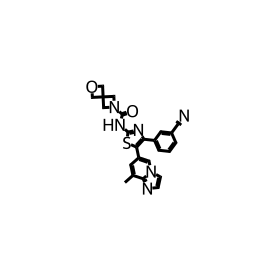 Cc1cc(-c2sc(NC(=O)N3CC4(COC4)C3)nc2-c2cccc(C#N)c2)cn2ccnc12